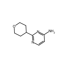 Nc1ccnc(C2CCOCC2)n1